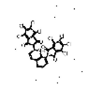 O=C1c2c(Cl)c(Cl)c(Cl)c(Cl)c2C(=O)C1C1C=Cc2cccc(N3C(=O)c4c(Cl)c(Cl)c(Cl)c(Cl)c4C3=O)c2N1